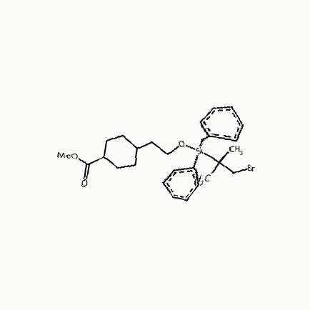 COC(=O)C1CCC(CCO[Si](c2ccccc2)(c2ccccc2)C(C)(C)CBr)CC1